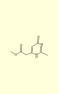 COC(=O)Cc1cc(=O)nc(C)[nH]1